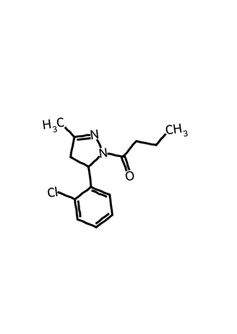 CCCC(=O)N1N=C(C)CC1c1ccccc1Cl